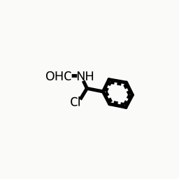 O=CNC(Cl)c1ccccc1